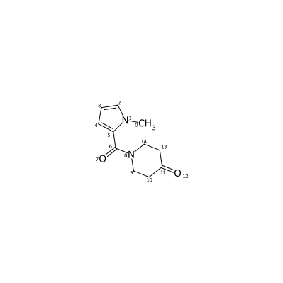 Cn1cccc1C(=O)N1CCC(=O)CC1